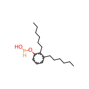 CCCCCCc1cccc(OPO)c1CCCCCC